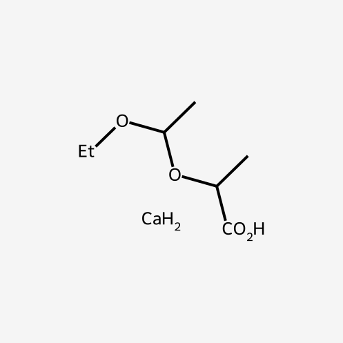 CCOC(C)OC(C)C(=O)O.[CaH2]